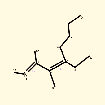 CCCC/C(CC)=C(C)\C(C)=N\C